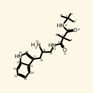 CC(C)(C)NC(=O)C(C)(C)C(=O)NCC(N)Cc1c[nH]c2ccccc12